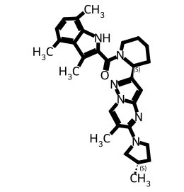 Cc1cn2nc([C@@H]3CCCCN3C(=O)c3[nH]c4c(C)ccc(C)c4c3C)cc2nc1N1CC[C@H](C)C1